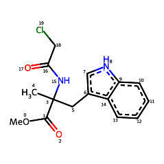 COC(=O)C(C)(Cc1c[nH]c2ccccc12)NC(=O)CCl